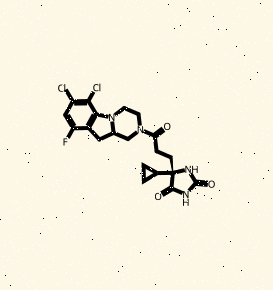 O=C1NC(=O)[C@](CCC(=O)N2CCN3c4c(Cl)c(Cl)cc(F)c4CC3C2)(C2CC2)N1